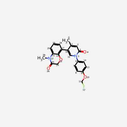 Cc1cc(=O)n(-c2ccc(OCF)cc2)cc1-c1cccc2c1OCC(=O)N2C